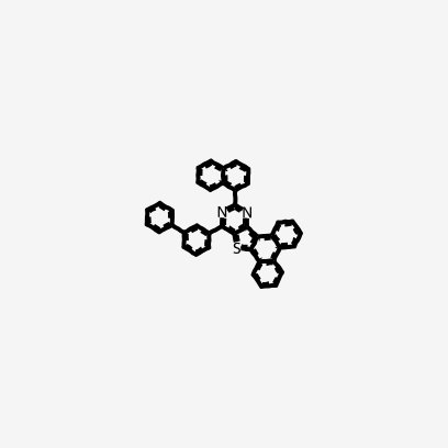 c1ccc(-c2cccc(-c3nc(-c4cccc5ccccc45)nc4c3sc3c5ccccc5c5ccccc5c43)c2)cc1